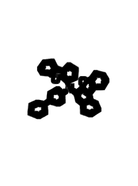 c1ccc(-c2ccc(N(c3cccc4c3oc3ccccc34)c3cc4ccccc4c4c3oc3ccccc34)cc2)cc1